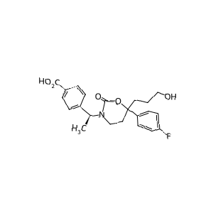 C[C@@H](c1ccc(C(=O)O)cc1)N1CCC(CCCO)(c2ccc(F)cc2)OC1=O